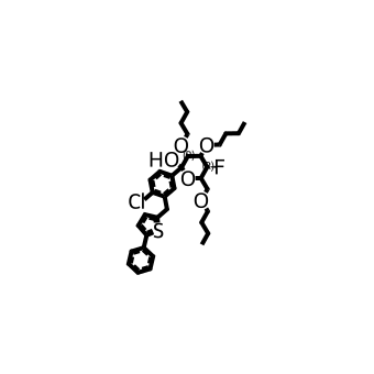 CCCCOCC1OC(O)(c2ccc(Cl)c(Cc3ccc(-c4ccccc4)s3)c2)[C@H](OCCCC)C(OCCCC)[C@@H]1F